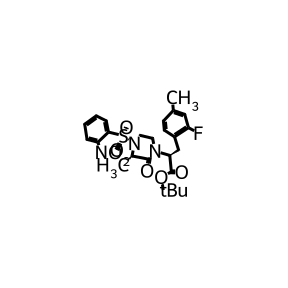 Cc1ccc(C[C@@H](C(=O)OC(C)(C)C)N2CCN(S(=O)(=O)c3ccccc3[N+](=O)[O-])[C@@H](C)C2=O)c(F)c1